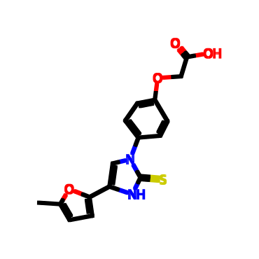 Cc1ccc(-c2cn(-c3ccc(OCC(=O)O)cc3)c(=S)[nH]2)o1